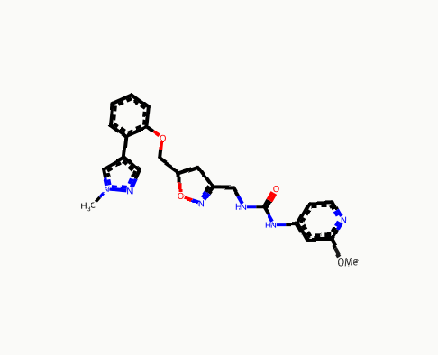 COc1cc(NC(=O)NCC2=NOC(COc3ccccc3-c3cnn(C)c3)C2)ccn1